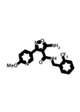 COc1ccc(-c2noc(N)c2C(=O)NCc2ccccc2C(F)(F)F)cn1